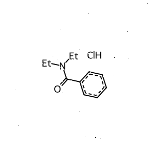 CCN(CC)C(=O)c1ccccc1.Cl